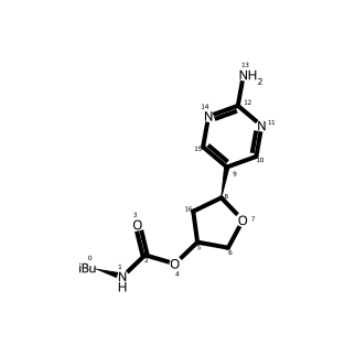 CC[C@H](C)NC(=O)OC1CO[C@H](c2cnc(N)nc2)C1